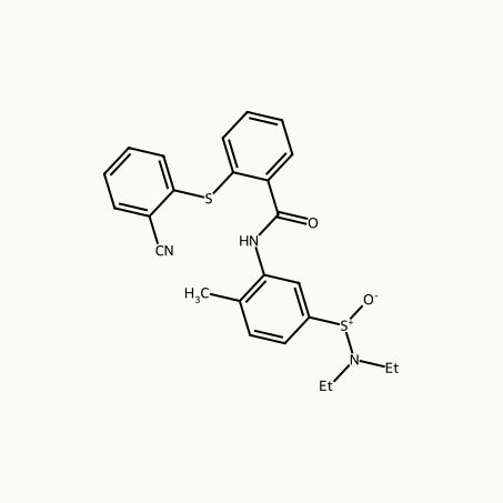 CCN(CC)[S+]([O-])c1ccc(C)c(NC(=O)c2ccccc2Sc2ccccc2C#N)c1